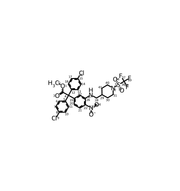 COC(=O)C(c1ccc(Cl)cc1)(c1ccc(Cl)cc1)c1ccc([N+](=O)[O-])c(NCC2CCN(S(=O)(=O)C(F)(F)F)CC2)c1